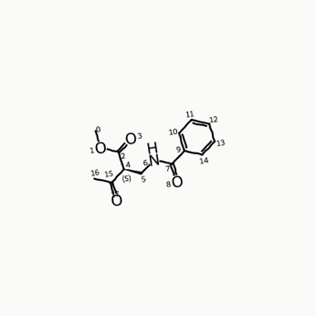 COC(=O)[C@@H](CNC(=O)c1ccccc1)C(C)=O